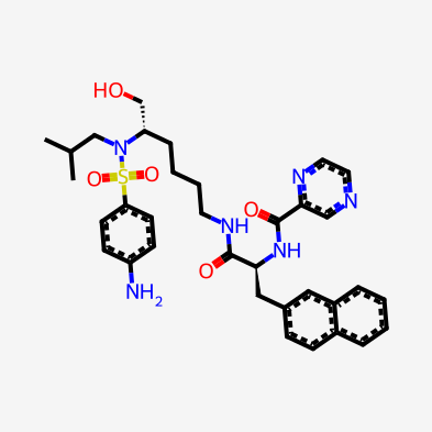 CC(C)CN([C@H](CO)CCCCNC(=O)[C@H](Cc1ccc2ccccc2c1)NC(=O)c1cnccn1)S(=O)(=O)c1ccc(N)cc1